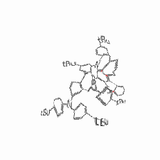 CC(C)(C)c1ccc(N2B3c4c(cc(C(C)(C)C)cc4N(c4ccc(C(C)(C)C)cc4-c4ccccc4)c4ccc5c(sc6ccccc65)c43)-c3ccc(N(c4ccc(C(C)(C)C)cc4)c4ccc(C(C)(C)C)cc4)cc32)cc1